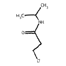 CC(C)NC(=O)CCCl